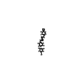 CCc1ccc(C=NN=Cc2ccc([C@H]3CC[C@H](C)CC3)cc2)cc1